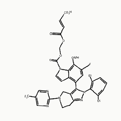 CCc1cccc(CC)c1-n1nc2c(c1-c1cc(F)c(OC)c3c1ccn3C(=O)OCOC(=O)C=CC(=O)O)CN(c1ncc(C(F)(F)F)cn1)CC2